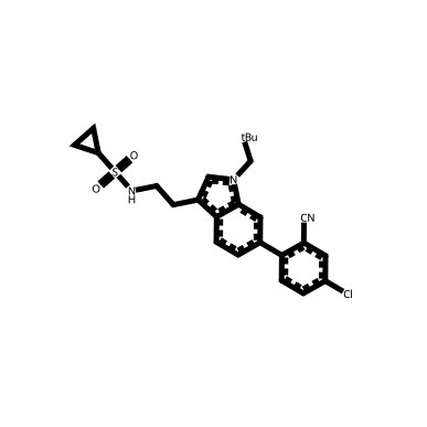 CC(C)(C)Cn1cc(CCNS(=O)(=O)C2CC2)c2ccc(-c3ccc(Cl)cc3C#N)cc21